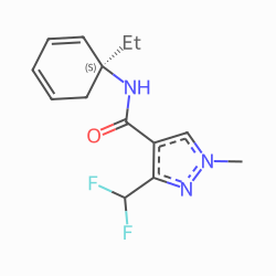 CC[C@@]1(NC(=O)c2cn(C)nc2C(F)F)C=CC=CC1